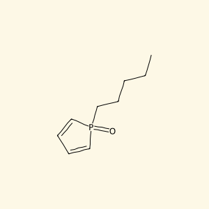 CCCCCP1(=O)C=CC=C1